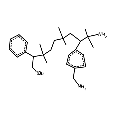 CC(C)(C)CC(c1ccccc1)C(C)(C)CCC(C)(C)CC(c1ccc(CN)cc1)C(C)(C)N